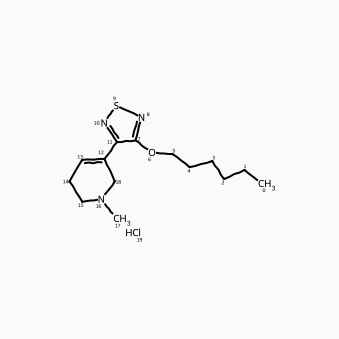 CCCCCCOc1nsnc1C1=CCCN(C)C1.Cl